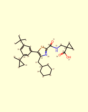 CC(C)(C)c1cc(-c2sc(C(=O)NCC3(C(=O)O)CC3)nc2CC2CCCCC2)cc(C2(C)CC2)c1